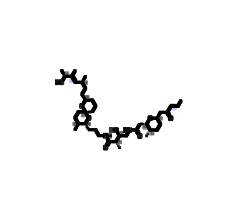 C/C=C/C(=O)C[C@H]1CC[C@H](C)[C@H](CC(=O)NC[C@H](O)[C@H](C)C(=O)NCCC[C@H]2O[C@@]3(CCC[C@H](CC[C@H](C)/C=C(\C)[C@H](C)O)O3)CC[C@@H]2C)O1